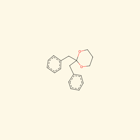 c1ccc(CC2(Cc3ccccc3)OCCCO2)cc1